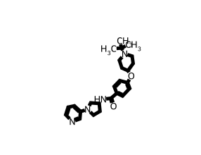 CC(C)(C)N1CCC(Oc2ccc(C(=O)N[C@H]3CCN(c4cccnc4)C3)cc2)CC1